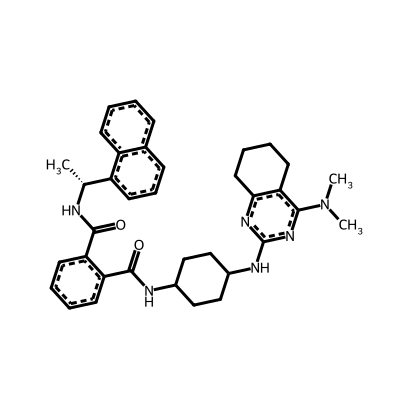 C[C@@H](NC(=O)c1ccccc1C(=O)NC1CCC(Nc2nc3c(c(N(C)C)n2)CCCC3)CC1)c1cccc2ccccc12